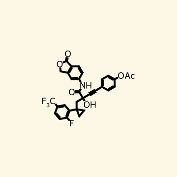 CC(=O)Oc1ccc(C#CC(O)(CC2(c3cc(C(F)(F)F)ccc3F)CC2)C(=O)Nc2ccc3c(c2)COC3=O)cc1